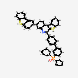 O=P(c1ccccc1)(c1ccccc1)c1cccc(-c2ccc(-c3nc4cc(-c5ccc6sc7ccccc7c6c5)ccc4c4c3sc3ccccc34)cc2)c1